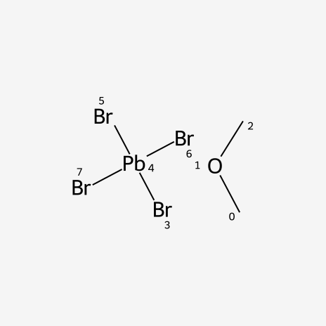 COC.[Br][Pb]([Br])([Br])[Br]